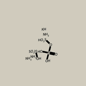 N.N.N.O=P(O)(O)OS(=O)(=O)O.O=S(=O)(O)O.[KH]